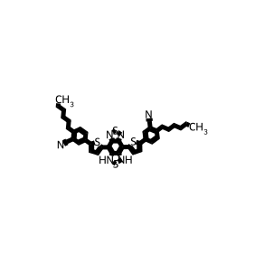 CCCCCCc1ccc(-c2ccc(-c3c4c(c(-c5ccc(-c6ccc(CCCCCC)c(C#N)c6)s5)c5nsnc35)NSN4)s2)cc1C#N